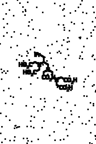 CC(C)CC(CN(CCN(CC(=O)O)CC(=O)O)CC(=O)O)N(CC(=O)O)CC(=O)O